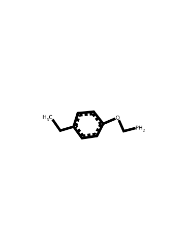 CCc1ccc(OCP)cc1